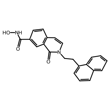 O=C(NO)c1ccc2ccn(CCc3cccc4ccccc34)c(=O)c2c1